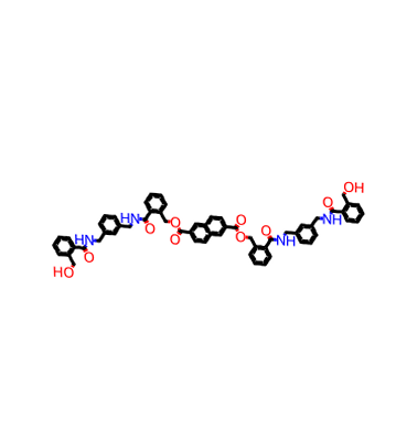 O=C(OCc1ccccc1C(=O)NCc1cccc(CNC(=O)c2ccccc2CO)c1)c1ccc2cc(C(=O)OCc3ccccc3C(=O)NCc3cccc(CNC(=O)c4ccccc4CO)c3)ccc2c1